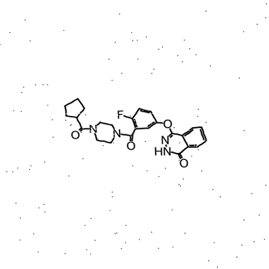 O=C(c1cc(Oc2n[nH]c(=O)c3ccccc23)ccc1F)N1CCN(C(=O)C2CCCC2)CC1